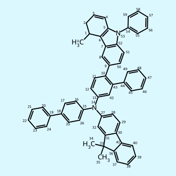 CC1CC=Cc2c1c1cc(-c3ccc(N(c4ccc(-c5ccccc5)cc4)c4ccc5c(c4)C(C)(C)c4ccccc4-5)cc3-c3ccccc3)ccc1n2-c1ccccc1